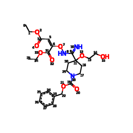 CCOC(=O)C=C(ONC(=N)C1(OCCO)CCN(C(=O)OCc2ccccc2)CC1)C(=O)OCC